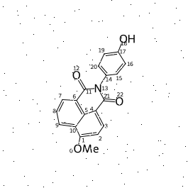 COc1ccc2c3c(cccc13)C(=O)N(c1ccc(O)cc1)C2=O